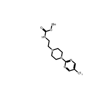 CC(C)(C)OC(=O)NCCN1CCN(c2ncc(C(F)(F)F)cn2)CC1